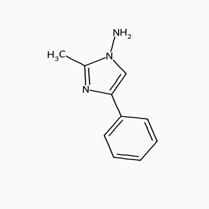 Cc1nc(-c2ccccc2)cn1N